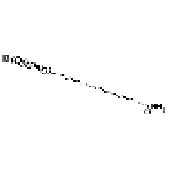 NC(=O)CCCCCCCCCCCCCCCCCCCCCCCCCCOOOOOOOOOOOO